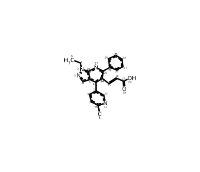 CCn1ncc2c(-c3ccc(Cl)nc3)c(C=CC(=O)O)c(-c3ccccc3)nc21